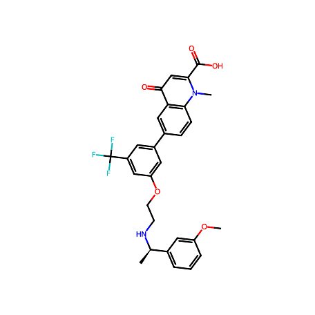 COc1cccc([C@@H](C)NCCOc2cc(-c3ccc4c(c3)c(=O)cc(C(=O)O)n4C)cc(C(F)(F)F)c2)c1